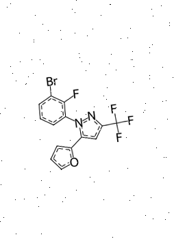 Fc1c(Br)cccc1-n1nc(C(F)(F)F)cc1-c1ccco1